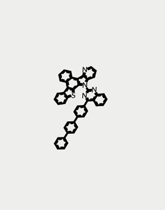 c1ccc(-c2ccc(-c3ccc(-c4nc(-n5c6cccnc6c6c7ccccc7c7c8ccccc8sc7c65)nc5ccccc45)cc3)cc2)cc1